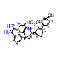 CC1(c2ccccc2)CC(c2cccc(-c3ccc(C#N)cc3C(=O)O)c2)Nc2ccc(C(=N)N)cc21